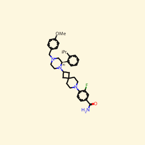 COc1ccc(CN2CCN(C3CC4(CCN(c5ccc(C(N)=O)cc5F)CC4)C3)[C@H](c3ccccc3C(C)C)C2)cc1